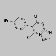 CC(C)c1ccc(-c2c(Cl)nc3ncnn3c2Cl)cc1